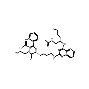 CCCC[C@H](CNC(C)=O)Nc1nc(NCCCC[C@@H](Nc2nc(N)nc3cccnc23)C(=O)NCCO)nc2cccnc12